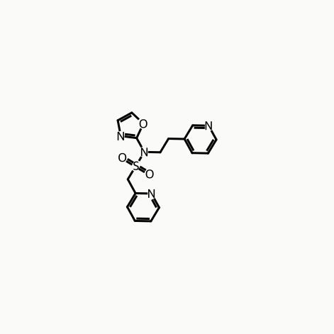 O=S(=O)(Cc1ccccn1)N(CCc1cccnc1)c1ncco1